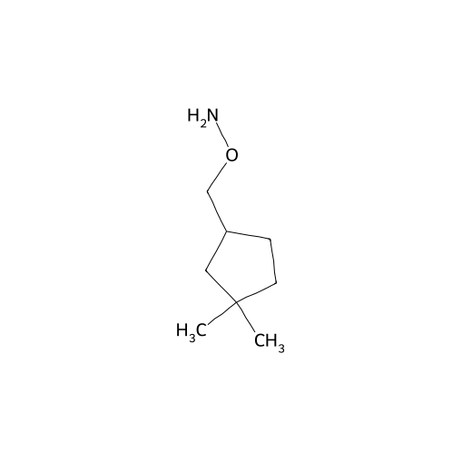 CC1(C)CCC(CON)C1